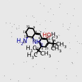 CC(C)(C)c1cc(/C=C2/CCCC(N)C2N)c(O)c(C(C)(C)C)c1